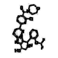 O=C(c1ccc(-c2ccc3nc4c(n3n2)C(c2ccccc2OC(F)F)NCC4O)cc1Cl)N1CCOCC1